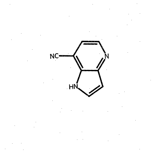 N#Cc1ccnc2cc[nH]c12